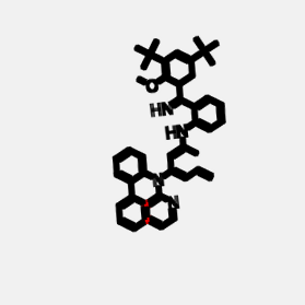 C=C/C=C(\C=C(/C)Nc1ccccc1C(=N)C1CC(C(C)(C)C)=CC(C(C)(C)C)=C1OC)N(c1ccccn1)c1ccccc1-c1ccccc1